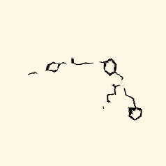 CCOc1ccc(COC(=O)CCCOc2ccc(CN(CCCc3ccccc3)C(=O)CCC(=O)OC)cc2)cc1